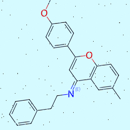 COc1ccc(-c2c/c(=N\CCc3ccccc3)c3cc(C)ccc3o2)cc1